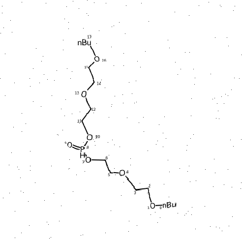 CCCCOCCOCCO[PH](=O)OCCOCCOCCCC